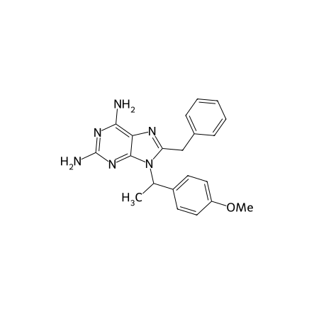 COc1ccc(C(C)n2c(Cc3ccccc3)nc3c(N)nc(N)nc32)cc1